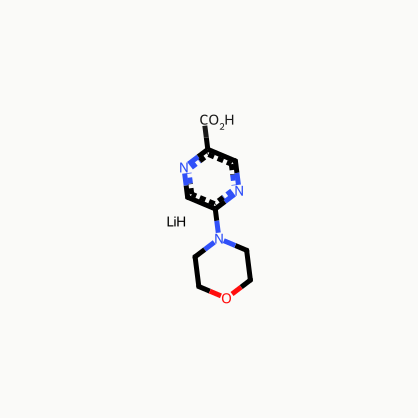 O=C(O)c1cnc(N2CCOCC2)cn1.[LiH]